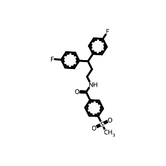 CS(=O)(=O)c1ccc(C(=O)NCCC(c2ccc(F)cc2)c2ccc(F)cc2)cc1